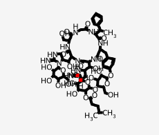 CC(C)CCC(=O)OC1C(OC2C(CO)OC(Oc3ccc(CC4NC(=O)C(C(C)c5ccccc5)NC(=O)CNC(=O)C(CO)NC(=O)C(C(O)C5CNC(=N)N5C5OC(CO)C(O)C(O)C5O)NC(=O)C(C(O)C5CNC(=N)N5)NC4=O)cc3)C(O)C2O)OC(CO)C(O)C1O